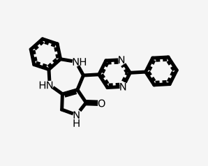 O=C1NCC2=C1C(c1cnc(-c3ccccc3)nc1)Nc1ccccc1N2